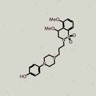 COc1cccc2c1C(OC)CN(CCCN1CCN(c3ccc(O)cc3)CC1)S2(=O)=O